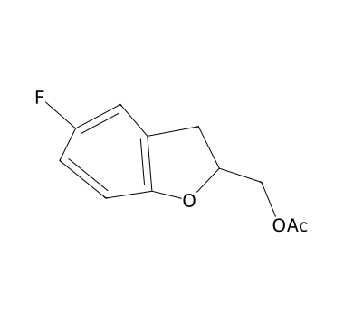 CC(=O)OCC1Cc2cc(F)ccc2O1